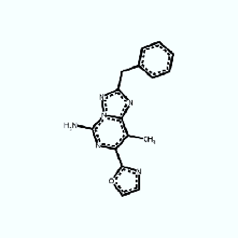 Cc1c(-c2ncco2)nc(N)n2nc(Cc3ccccc3)nc12